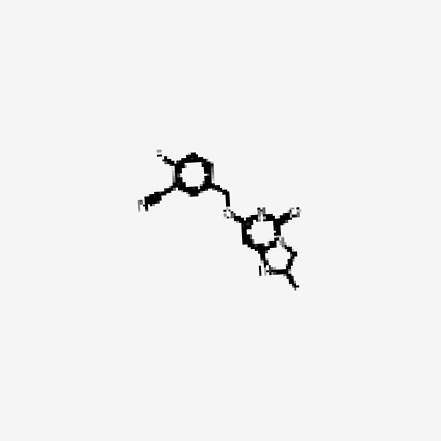 CC1Cn2c(cc(OCc3ccc(F)c(C#N)c3)nc2=O)N1